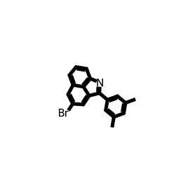 Cc1cc(C)cc(C2=Nc3cccc4cc(Br)cc2c34)c1